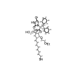 CCOCCOCCC(CCCCCCCCCCS)(NC(=O)C(C(c1ccccc1)c1ccccc1)N1CC(=O)NC1=O)C(=O)O